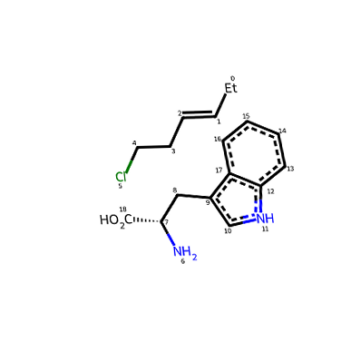 CCC=CCCCl.N[C@@H](Cc1c[nH]c2ccccc12)C(=O)O